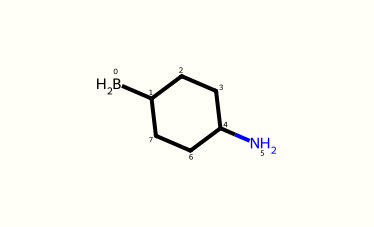 BC1CCC(N)CC1